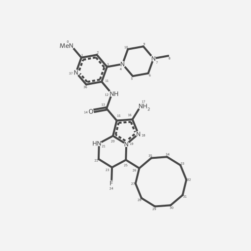 CNc1cc(N2CCN(C)CC2)c(NC(=O)c2c(N)nn3c2NCC(F)C3C2CCCCCCCCC2)cn1